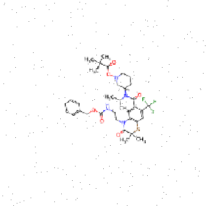 CC(C)N(C(=O)c1cc2c(cc1C(F)(F)F)SC(C)(C)C(=O)N2CCNC(=O)OCc1ccccc1)[C@@H]1CCCN(OC(=O)C(C)(C)C)C1